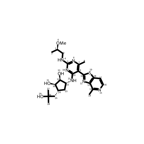 CO[C@H](C)CNc1nc(C)c(-c2nc3c(C)nccc3s2)c(N[C@@H]2C[C@H](CC(C)(C)O)[C@@H](O)[C@H]2O)n1